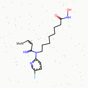 CN/C=C\C(=N)N(CCCCCCCC(=O)NO)c1ccc(F)cn1